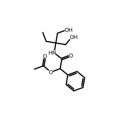 CCC(CO)(CO)NC(=O)C(OC(C)=O)c1ccccc1